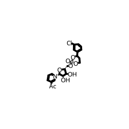 CC(=O)c1ccc[n+]([C@@H]2O[C@H](COP3(=O)OCCC(c4cccc(Cl)c4)O3)C(O)[C@@H]2O)c1